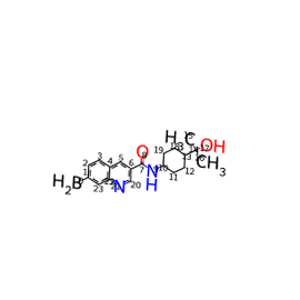 Bc1ccc2cc(C(=O)NC3CCC(C(C)(C)O)CC3)cnc2c1